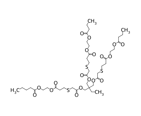 CCCCC(=O)OCCOC(=O)CCSCC(=O)OCC(CC)(COC(=O)CSCCC(=O)OCCOC(=O)CCC)COC(=O)CSCCC(=O)OCCOC(=O)CCC